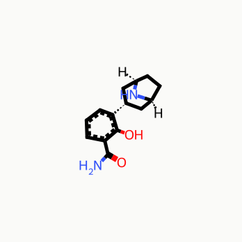 NC(=O)c1cccc([C@@H]2C[C@H]3CC[C@@H](C2)N3)c1O